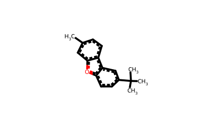 Cc1ccc2c(c1)oc1ccc(C(C)(C)C)cc12